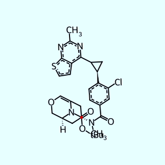 Cc1nc(C2C[C@H]2c2ccc(C(=O)N(C)[C@H]3CC4=COC[C@H](C3)N4C(=O)OC(C)(C)C)cc2Cl)c2ccsc2n1